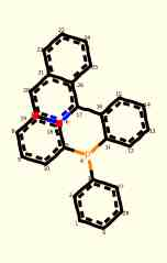 c1ccc(P(c2ccccc2)c2ccccc2-c2nccc3ccccc23)cc1